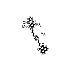 CCCC.COc1cc(C(=O)N2CCC[C@H]2C=O)c([N+](=O)[O-])cc1OCCCCN1CCN(CCCCN2C(=O)c3cccc4cccc(c34)C2=O)CC1